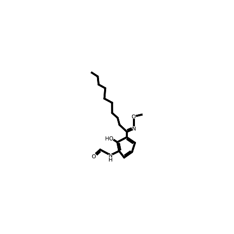 CCCCCCCCC/C(=N\OC)c1cccc(NC=O)c1O